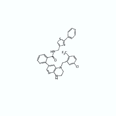 O=C(NCc1csc(-c2ccccc2)n1)c1ccccc1-c1cnc2c(c1)N(Cc1cc(Cl)ccc1C(F)(F)F)CCN2